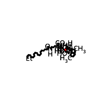 CC/C=C\C/C=C\C/C=C\C/C=C\C/C=C\CCCC(=O)NCCCCC(NC(=O)C[C@H](O)C[C@@H](O)CC[C@@H]1C2C(=C[C@H](C)CC2OC(=O)C(C)(C)CC)C=C[C@@H]1C)C(=O)O